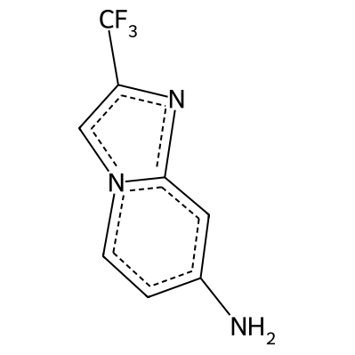 Nc1ccn2cc(C(F)(F)F)nc2c1